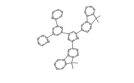 CC1(C)c2ccccc2-c2cc(-c3cc(-c4cc(-c5ccccn5)cc(-c5ccccn5)c4)cc(-c4ccc5c(c4)-c4ccccc4C5(C)C)n3)ccc21